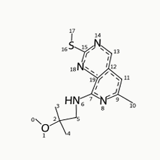 COC(C)(C)CNc1nc(C)cc2cnc(SC)nc12